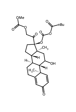 CCCCC(=O)OC(=O)O[C@]1(C(=O)COC(=O)OC)CC[C@H]2[C@@H]3CCC4=CC(=O)C=C[C@]4(C)[C@H]3C(O)C[C@@]21C